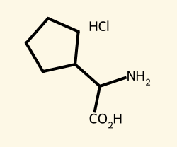 Cl.NC(C(=O)O)C1CCCC1